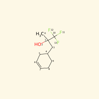 CC(O)(CC1CC=CCC1)C(F)(F)F